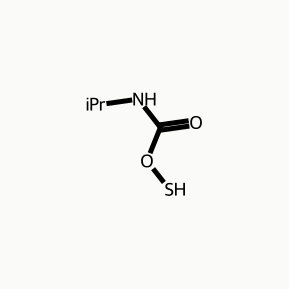 CC(C)NC(=O)OS